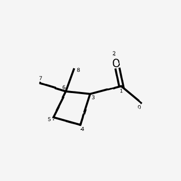 CC(=O)C1C[CH]C1(C)C